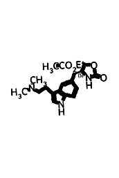 CCOC(C)=O.CN(C)CCc1c[nH]c2ccc(C[C@H]3COC(=O)N3)cc12